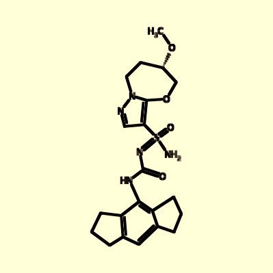 CO[C@H]1CCn2ncc(S(N)(=O)=NC(=O)Nc3c4c(cc5c3CCC5)CCC4)c2OC1